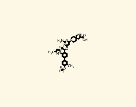 Cc1ccn(-c2cc(-c3ccc(OC(F)(F)F)c(C)c3)ccc2C(Oc2cc(N3CCC4(CC3)CNC(C(=O)O)C4)nc(N)n2)C(F)(F)F)n1